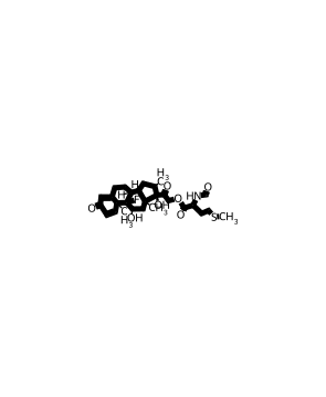 CSCCC(NC=O)C(=O)OCC(=O)[C@@]1(O)[C@@H](C)C[C@H]2[C@@H]3CCC4=CC(=O)C=C[C@]4(C)C3(F)[C@@H](O)C[C@@]21C